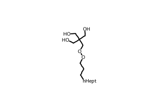 CCCCCCCCCCOOCC(CO)(CO)CO